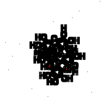 Oc1c(O)c(O)c(-c2c3c(O)c(O)c(O)c(O)c3c(-c3c(O)c(O)c(O)c4oc5c(O)c(O)c(O)c(O)c5c34)c3c(O)c(O)c(O)c(O)c23)c(O)c1O